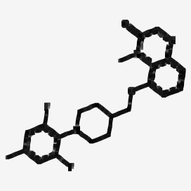 Cc1cc(F)c(N2CCC(COc3cccc4ncc(=O)n(C)c34)CC2)c(F)c1